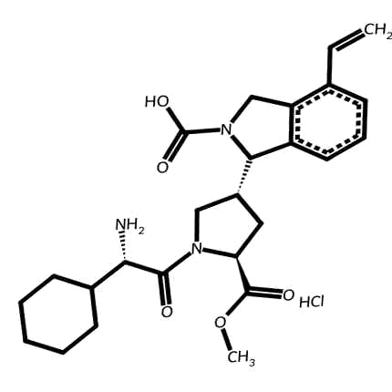 C=Cc1cccc2c1CN(C(=O)O)C2[C@@H]1C[C@@H](C(=O)OC)N(C(=O)[C@@H](N)C2CCCCC2)C1.Cl